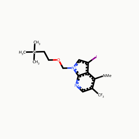 CNc1c(C(F)(F)F)cnc2c1c(I)cn2COCC[Si](C)(C)C